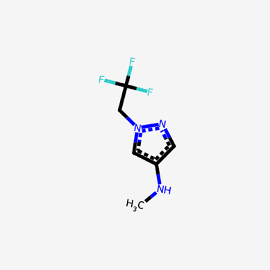 CNc1cnn(CC(F)(F)F)c1